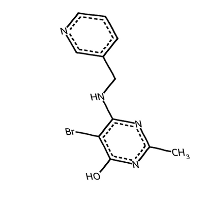 Cc1nc(O)c(Br)c(NCc2cccnc2)n1